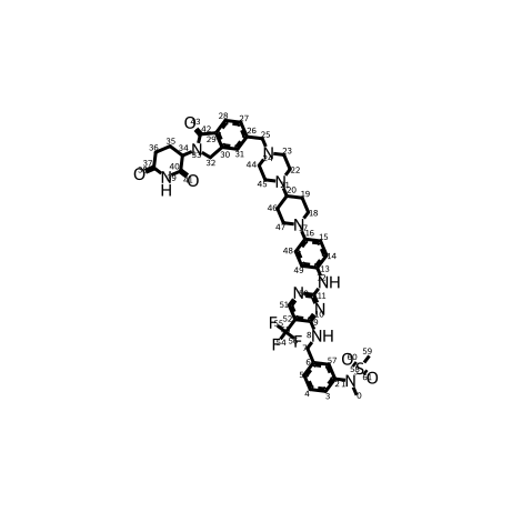 CN(c1cccc(CNc2nc(Nc3ccc(N4CCC(N5CCN(Cc6ccc7c(c6)CN(C6CCC(=O)NC6=O)C7=O)CC5)CC4)cc3)ncc2C(F)(F)F)c1)S(C)(=O)=O